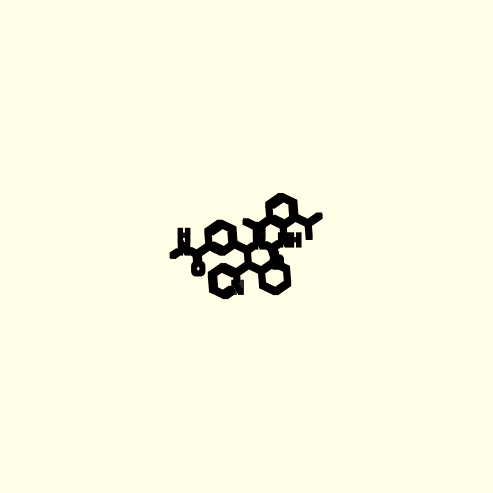 CNC(=O)c1cccc(C(NC(=O)Nc2c(C(C)C)cccc2C(C)C)C(c2ccccn2)C2CCCCC2)c1